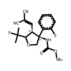 CC(C)(C)OC(=O)N[C@@]1(c2ccccc2F)COC(C(C)(C)F)[C@H]1C=C(C#N)C#N